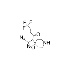 N#CC1=NOC2(CCNCC2)C1C(=O)CCC(F)(F)F